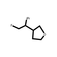 CC(C)C(CF)C1CCOC1